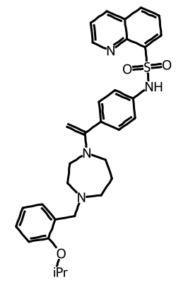 C=C(c1ccc(NS(=O)(=O)c2cccc3cccnc23)cc1)N1CCCN(Cc2ccccc2OC(C)C)CC1